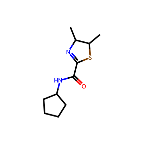 CC1N=C(C(=O)NC2CCCC2)SC1C